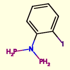 PN(P)c1ccccc1I